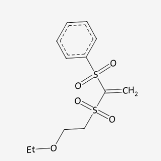 C=C(S(=O)(=O)CCOCC)S(=O)(=O)c1ccccc1